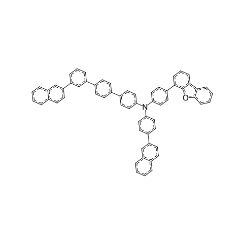 c1cc(-c2ccc(-c3ccc(N(c4ccc(-c5ccc6ccccc6c5)cc4)c4ccc(-c5cccc6c5oc5ccccc56)cc4)cc3)cc2)cc(-c2ccc3ccccc3c2)c1